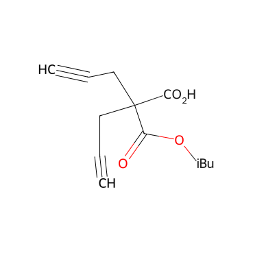 C#CCC(CC#C)(C(=O)O)C(=O)OC(C)CC